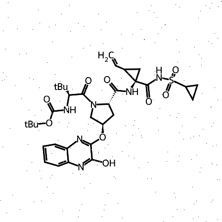 C=CC1C[C@]1(NC(=O)[C@@H]1C[C@@H](Oc2nc3ccccc3nc2O)CN1C(=O)[C@@H](NC(=O)OC(C)(C)C)C(C)(C)C)C(=O)NS(=O)(=O)C1CC1